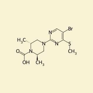 CSc1nc(N2C[C@@H](C)N(C(=O)O)[C@H](C)C2)ncc1Br